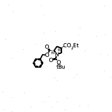 CCOC(=O)[C@H]1C[C@@H](C(=O)OCc2ccccc2)N(C(=O)OC(C)(C)C)C1